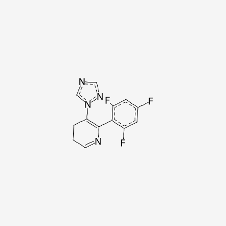 Fc1cc(F)c(C2=C(n3cncn3)CCC=N2)c(F)c1